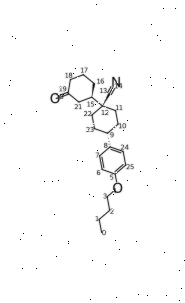 CCCCOc1ccc([C@H]2CC[C@@](C#N)([C@@H]3CCCC(=O)C3)CC2)cc1